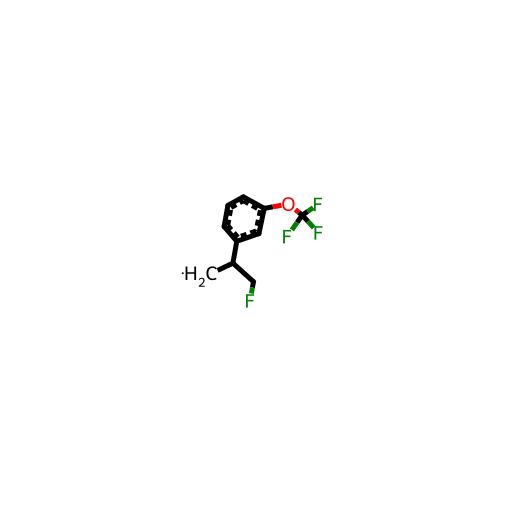 [CH2]C(CF)c1cccc(OC(F)(F)F)c1